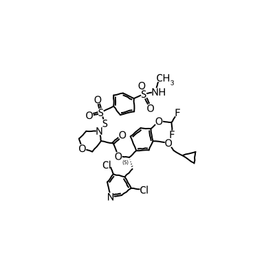 CNS(=O)(=O)c1ccc(S(=O)(=O)SN2CCOCC2C(=O)O[C@@H](Cc2c(Cl)cncc2Cl)c2ccc(OC(F)F)c(OCC3CC3)c2)cc1